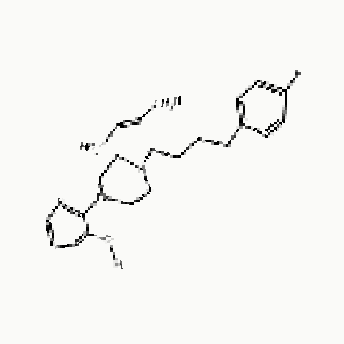 CCOc1cccnc1N1CCN(CCCCc2ccc(F)cc2)CC1.O=C(O)/C=C/C(=O)O